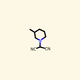 CC1CCCN(C(C#N)C#N)C1